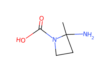 CC1(N)CCN1C(=O)O